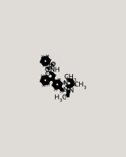 CCc1nc2c(C)cc(C)nc2n1Cc1ccc(C(CC(=O)NS(=O)(=O)c2ccccc2)c2ccccc2)cc1